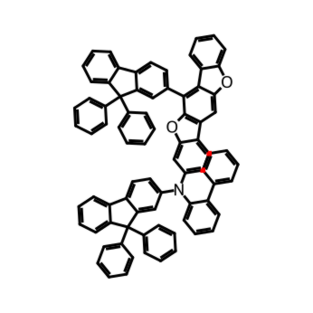 c1ccc(-c2ccccc2N(c2ccc3c(c2)C(c2ccccc2)(c2ccccc2)c2ccccc2-3)c2ccc3c(c2)oc2c(-c4ccc5c(c4)C(c4ccccc4)(c4ccccc4)c4ccccc4-5)c4c(cc23)oc2ccccc24)cc1